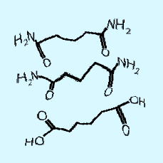 NC(=O)CCCC(N)=O.NC(=O)CCCC(N)=O.O=C(O)CCCCC(=O)O